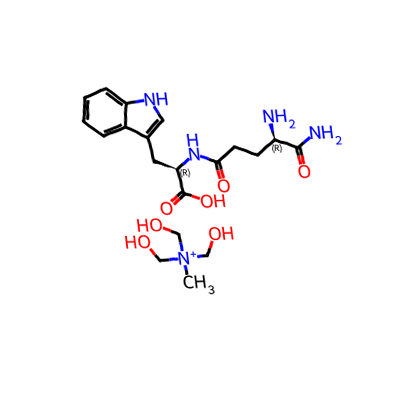 C[N+](CO)(CO)CO.NC(=O)[C@H](N)CCC(=O)N[C@H](Cc1c[nH]c2ccccc12)C(=O)O